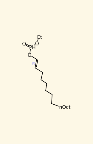 CCCCCCCCCCCCCC/C=C/O[PH](=O)OCC